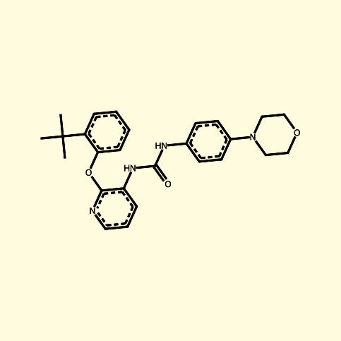 CC(C)(C)c1ccccc1Oc1ncccc1NC(=O)Nc1ccc(N2CCOCC2)cc1